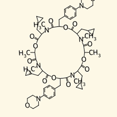 CC1OC(=O)C(CC2CC2)N(C)C(=O)C(Cc2ccc(N3CCOCC3)cc2)OC(=O)C(CC2CC2)N(C)C(=O)C(C)OC(=O)C(CC2CC2)N(C)C(=O)C(Cc2ccc(N3CCOCC3)cc2)OC(=O)C(CC2CC2)N(C)C1=O